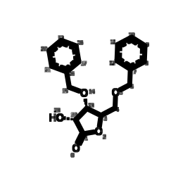 O=C1OC(COCc2ccccc2)[C@@H](OCc2ccccc2)[C@H]1O